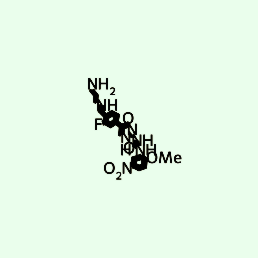 COc1ccc([N+](=O)[O-])cc1NC(=O)Nc1nc(=O)c(-c2ccc(CNCCCN)c(F)c2)c[nH]1